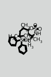 C[C@H](CC(C)(C)[Si](O)(c1ccccc1)c1ccccc1)[C@@H]1CC(C)(C)NS(=O)(=O)O1